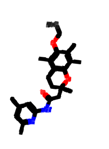 COCOc1c(C)c(C)c2c(c1C)CCC(C)(CC(=O)Nc1cc(C)cc(C)n1)O2